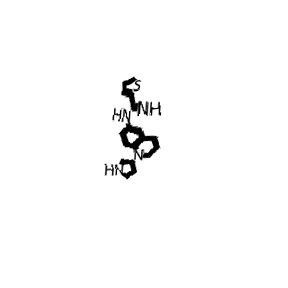 N=C(Nc1ccc2c(c1)CCCN2C1CCNC1)c1cccs1